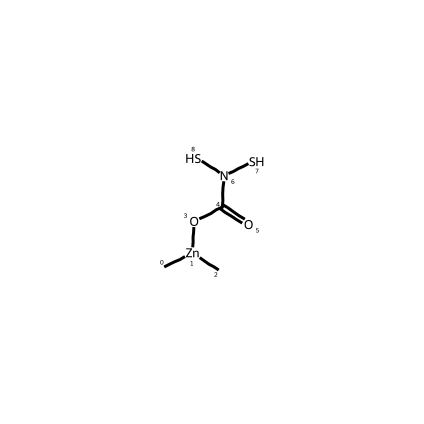 [CH3][Zn]([CH3])[O]C(=O)N(S)S